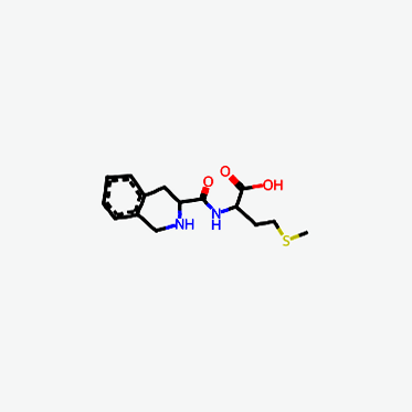 CSCCC(NC(=O)C1Cc2ccccc2CN1)C(=O)O